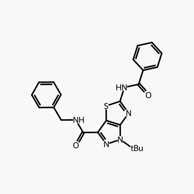 CC(C)(C)n1nc(C(=O)NCc2ccccc2)c2sc(NC(=O)c3ccccc3)nc21